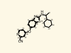 CC(Nc1nc2ccc(Oc3ccnc(C#N)c3)cc2s1)C1CCCCC1